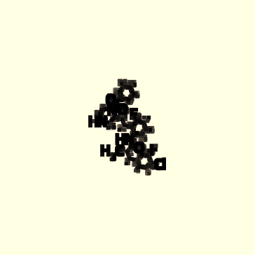 C[C@@H](Cc1ccc(Cl)c(F)c1)C(=O)Nc1cccc(F)c1CC[C@@H]1CNCCN1S(=O)(=O)c1ccccc1